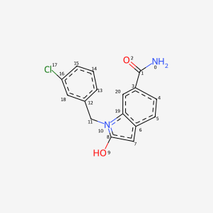 NC(=O)c1ccc2cc(O)n(Cc3cccc(Cl)c3)c2c1